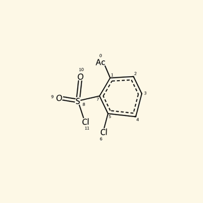 CC(=O)c1cccc(Cl)c1S(=O)(=O)Cl